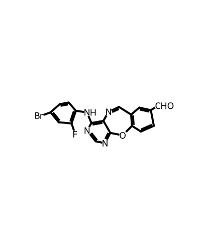 O=Cc1ccc2c(c1)C=Nc1c(Nc3ccc(Br)cc3F)ncnc1O2